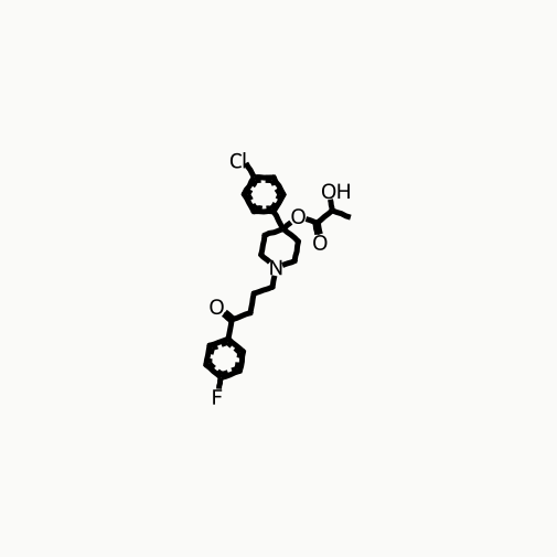 CC(O)C(=O)OC1(c2ccc(Cl)cc2)CCN(CCCC(=O)c2ccc(F)cc2)CC1